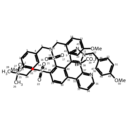 COc1ccc(CN(Cc2ccc(OC)cc2)S(=O)(=O)c2c(S(=O)(=O)CC[Si](C)(C)C)ccc(-c3cccnc3NC(=O)O)c2-c2nnn(Cc3ccc(OC)cc3)n2)cc1